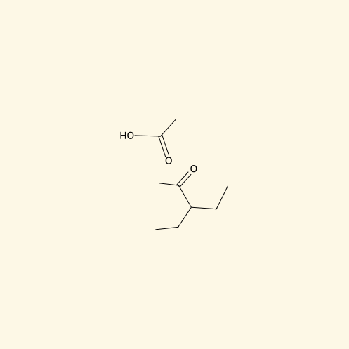 CC(=O)O.CCC(CC)C(C)=O